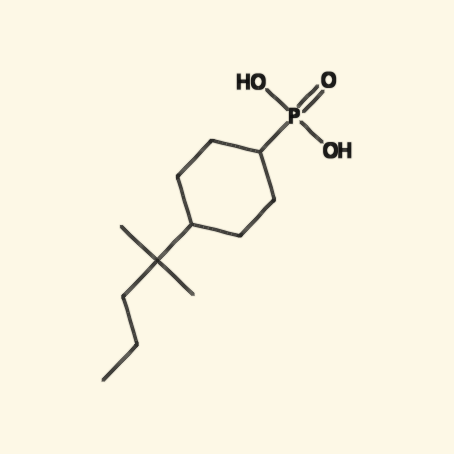 CCCC(C)(C)C1CCC(P(=O)(O)O)CC1